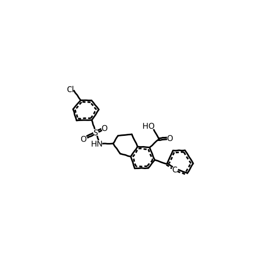 O=C(O)c1c(-c2ccccc2)ccc2c1CCC(NS(=O)(=O)c1ccc(Cl)cc1)C2